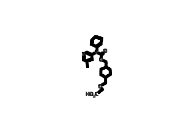 Cc1cncc(N(C(=O)OCC2CCC(COCC(=O)O)CC2)c2ccccc2)c1